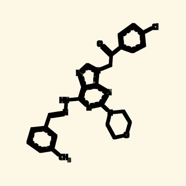 Cc1cccc(C=NNc2nc(N3CCOCC3)nc3c2ncn3CC(=O)c2ccc(Cl)cc2)c1